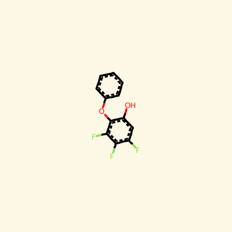 Oc1cc(F)c(F)c(F)c1Oc1ccccc1